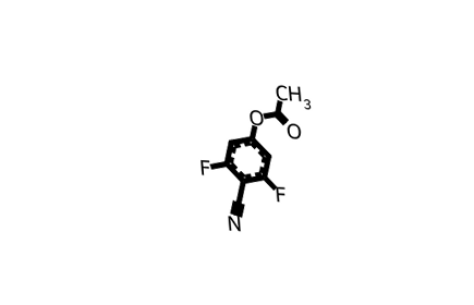 CC(=O)Oc1cc(F)c(C#N)c(F)c1